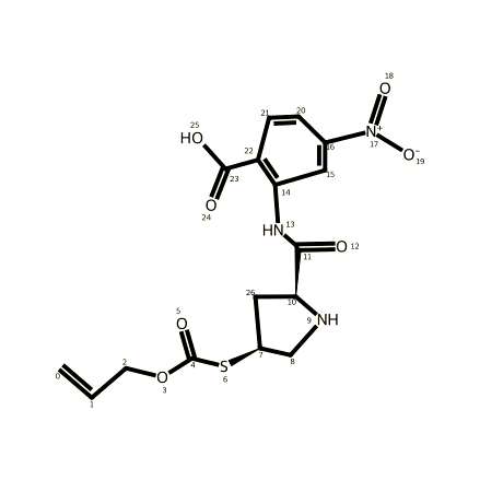 C=CCOC(=O)S[C@@H]1CN[C@H](C(=O)Nc2cc([N+](=O)[O-])ccc2C(=O)O)C1